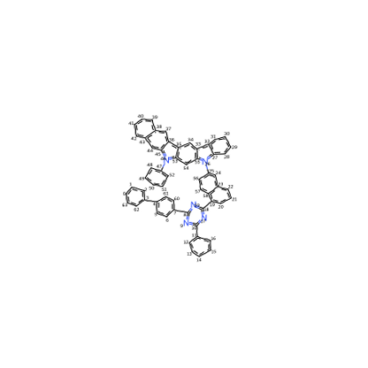 c1ccc(-c2ccc(-c3nc(-c4ccccc4)nc(-c4cccc5cc(-n6c7ccccc7c7cc8c9cc%10ccccc%10cc9n(-c9ccccc9)c8cc76)ccc45)n3)cc2)cc1